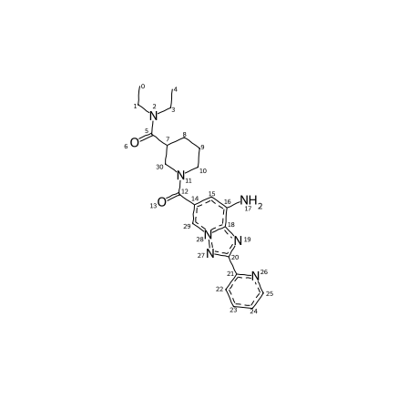 CCN(CC)C(=O)C1CCCN(C(=O)c2cc(N)c3nc(-c4ccccn4)nn3c2)C1